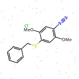 COc1cc(SCc2ccccc2)c(OC)cc1[N+]#N.[Cl-]